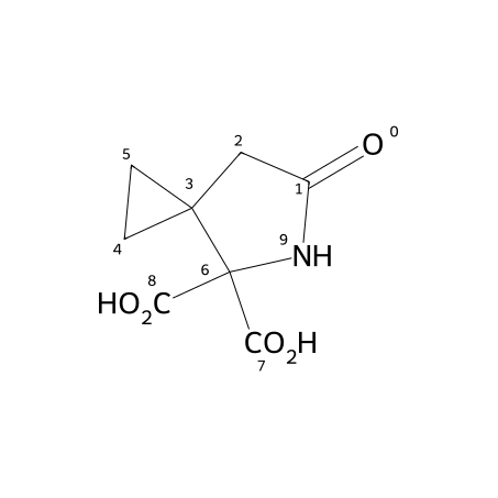 O=C1CC2(CC2)C(C(=O)O)(C(=O)O)N1